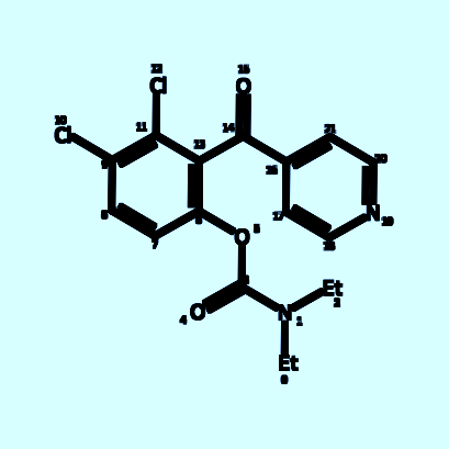 CCN(CC)C(=O)Oc1ccc(Cl)c(Cl)c1C(=O)c1ccncc1